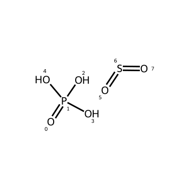 O=P(O)(O)O.O=S=O